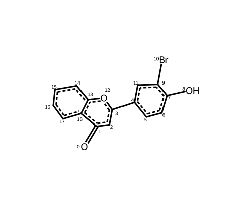 O=c1cc(-c2ccc(O)c(Br)c2)oc2ccccc12